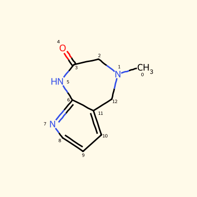 CN1CC(=O)Nc2ncccc2C1